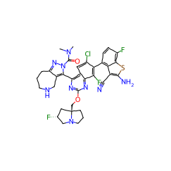 CN(C)C(=O)n1nc2c(c1-c1nc(OC[C@@]34CCCN3C[C@H](F)C4)nc3c(F)c(-c4ccc(F)c5sc(N)c(C#N)c45)c(Cl)cc13)CNCCC2